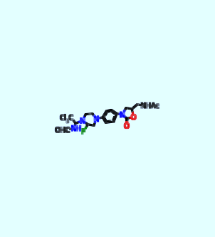 CC(=O)NCC1CN(c2ccc(N3CCN(C(NC=O)C(Cl)(Cl)Cl)C(F)C3)cc2)C(=O)O1